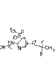 CCS(=O)(=O)c1cc(OCC(C)(F)F)cnc1NC=O